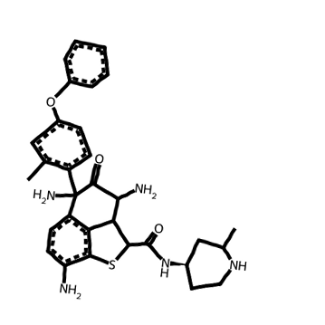 Cc1cc(Oc2ccccc2)ccc1C1(N)C(=O)C(N)C2c3c1ccc(N)c3SC2C(=O)N[C@@H]1CCNC(C)C1